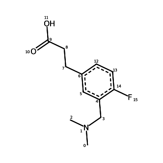 CN(C)Cc1cc(CCC(=O)O)ccc1F